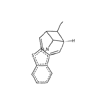 CC1C2C=c3sc4ccccc4c3=C[C@H]1C2N